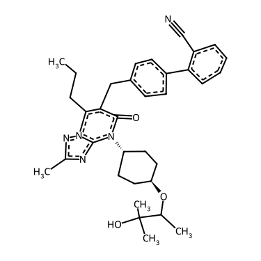 CCCc1c(Cc2ccc(-c3ccccc3C#N)cc2)c(=O)n([C@H]2CC[C@H](OC(C)C(C)(C)O)CC2)c2nc(C)nn12